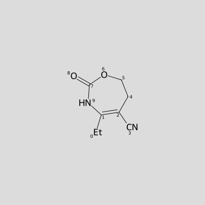 CCC1=C(C#N)CCOC(=O)N1